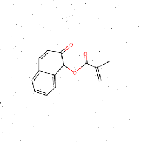 C=C(C)C(=O)OC1C(=O)C=Cc2ccccc21